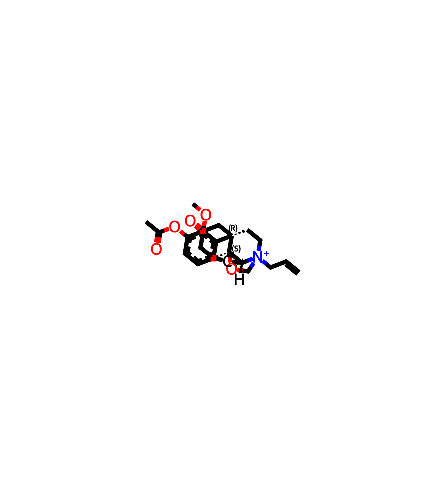 C=CC[N+]12CC[C@]34CC(=O)CC[C@@]3(OC1)[C@H]2Cc1ccc(OC(C)=O)c(OC)c14